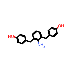 Nc1c(Cc2ccc(O)cc2)cccc1Cc1ccc(O)cc1